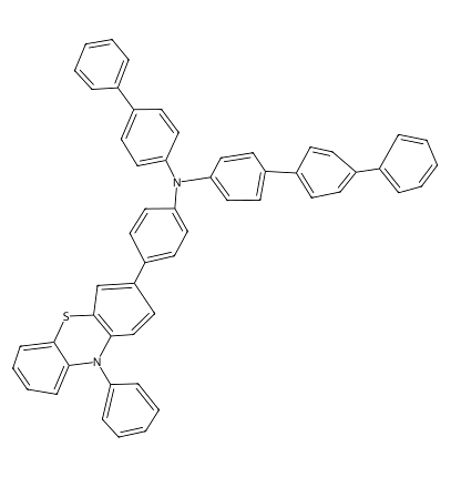 c1ccc(-c2ccc(-c3ccc(N(c4ccc(-c5ccccc5)cc4)c4ccc(-c5ccc6c(c5)Sc5ccccc5N6c5ccccc5)cc4)cc3)cc2)cc1